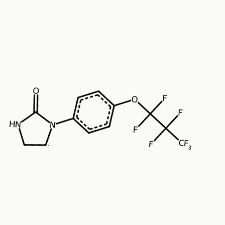 O=C1NC[CH]N1c1ccc(OC(F)(F)C(F)(F)C(F)(F)F)cc1